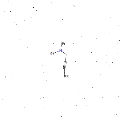 CC(C)N(CC#CC(C)(C)C)C(C)C